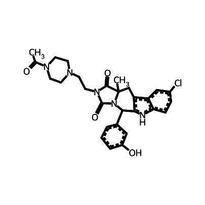 CC(=O)N1CCN(CCN2C(=O)N3C(c4cccc(O)c4)c4[nH]c5ccc(Cl)cc5c4CC3(C)C2=O)CC1